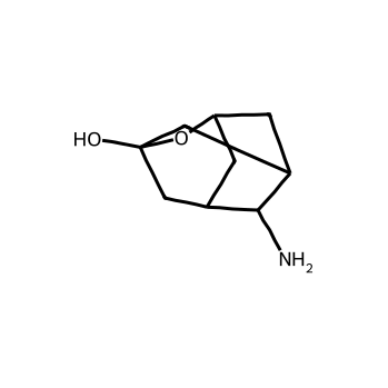 NC1C2CC3CC1CC(O)(C2)O3